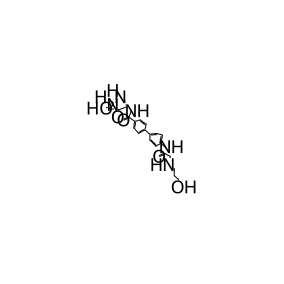 NC[C@H](NC(=O)c1ccc(-c2ccc(NC(=O)CNCCCO)cc2)cc1)C(=O)NO